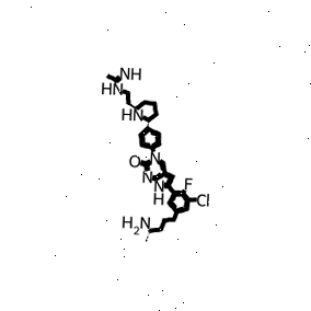 CC(=N)NCC[C@H]1CCC[C@H](c2ccc(-n3cc4cc(-c5cc(CCC[C@H](C)N)cc(Cl)c5F)[nH]c4nc3=O)cc2)N1